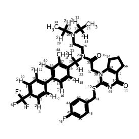 [2H]c1c([2H])c(C(F)(F)F)c([2H])c([2H])c1-c1c([2H])c([2H])c(C([2H])([2H])N(CCN(C([2H])([2H])C)C([2H])([2H])C)C(=O)Cn2c(SCc3ccc(F)cc3)nc(=O)c3c2CCC3)c(C)c1[2H]